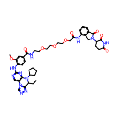 CCC1c2nncn2-c2cnc(Nc3ccc(C(=O)NCCOCCOCCOCC(=O)Nc4cccc5c4CN(C4CCC(=O)NC4=O)C5=O)cc3OC)nc2N1C1CCCC1